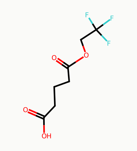 O=C(O)CCCC(=O)OCC(F)(F)F